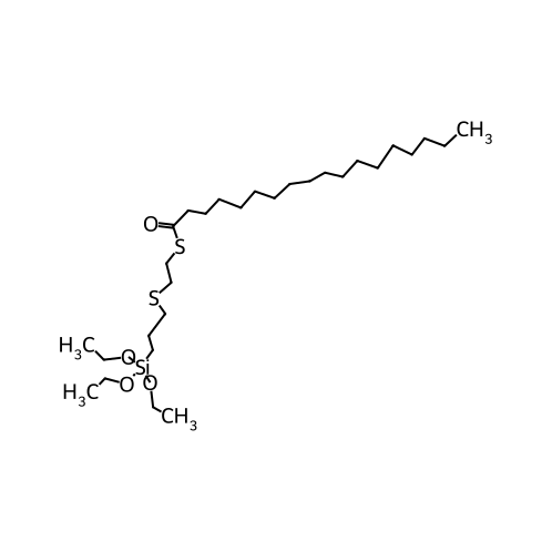 CCCCCCCCCCCCCCCCCC(=O)SCCSCCC[Si](OCC)(OCC)OCC